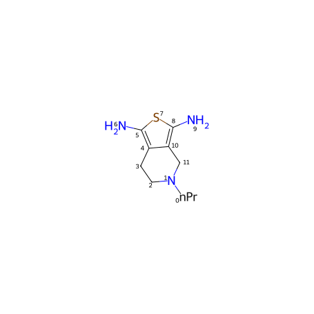 CCCN1CCc2c(N)sc(N)c2C1